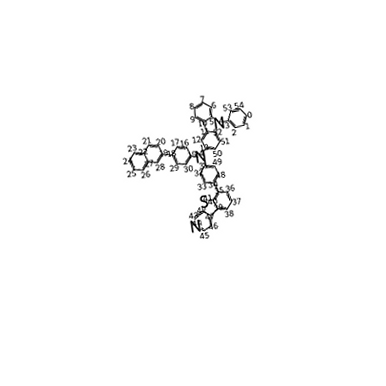 c1ccc(-n2c3ccccc3c3cc(N(c4ccc(-c5ccc6ccccc6c5)cc4)c4ccc(-c5cccc6c5sc5cnccc56)cc4)ccc32)cc1